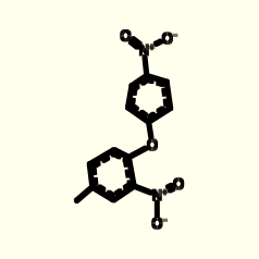 Cc1ccc(Oc2ccc([N+](=O)[O-])cc2)c([N+](=O)[O-])c1